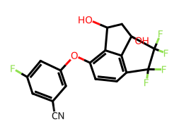 N#Cc1cc(F)cc(Oc2ccc3c4c2C(O)CC4(O)C(F)(F)C3(F)F)c1